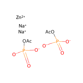 CC(=O)OP(=O)([O-])[O-].CC(=O)OP(=O)([O-])[O-].[Na+].[Na+].[Zn+2]